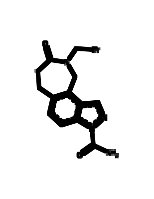 CC(C)CN1Cc2c(ccc3c2cnn3C(N)=O)C[C]C1=O